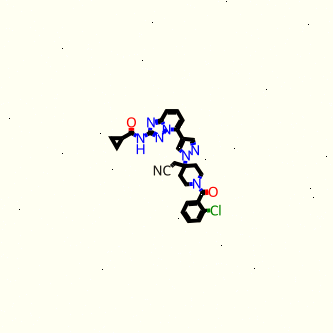 N#CCC1(n2cc(-c3cccc4nc(NC(=O)C5CC5)nn34)cn2)CCN(C(=O)c2ccccc2Cl)CC1